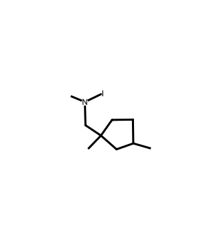 CC1CCC(C)(CN(C)I)C1